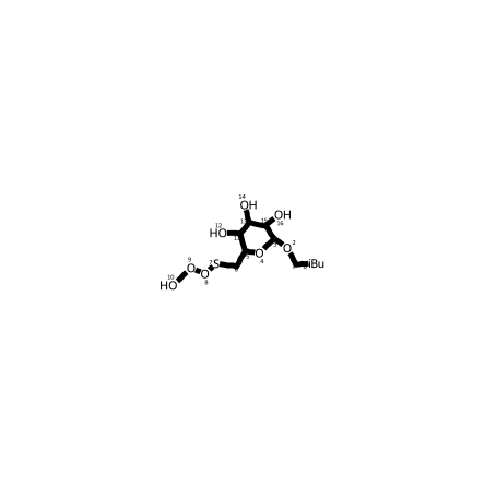 CCC(C)COC1OC(CSOOO)C(O)C(O)C1O